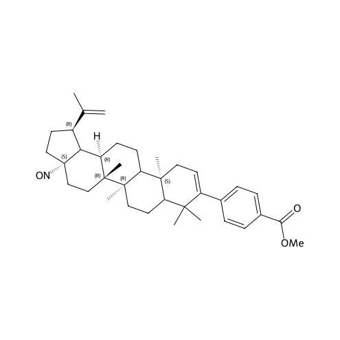 C=C(C)[C@@H]1CC[C@]2(N=O)CC[C@]3(C)[C@H](CCC4[C@@]5(C)CC=C(c6ccc(C(=O)OC)cc6)C(C)(C)C5CC[C@]43C)C12